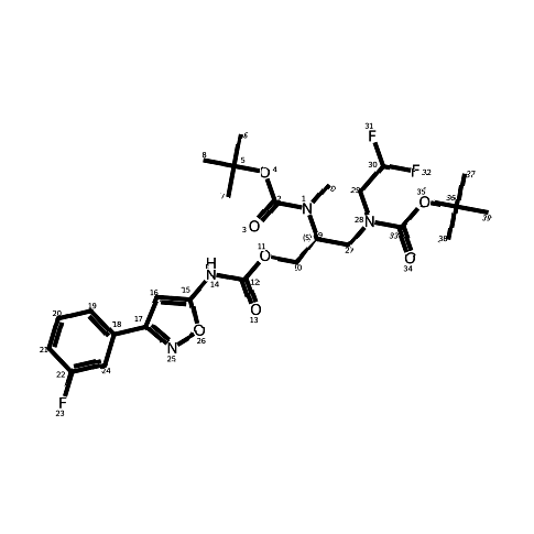 CN(C(=O)OC(C)(C)C)[C@H](COC(=O)Nc1cc(-c2cccc(F)c2)no1)CN(CC(F)F)C(=O)OC(C)(C)C